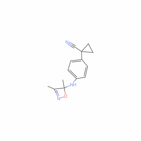 CC1=NOC1(C)Nc1ccc(C2(C#N)CC2)cc1